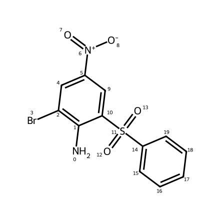 Nc1c(Br)cc([N+](=O)[O-])cc1S(=O)(=O)c1ccccc1